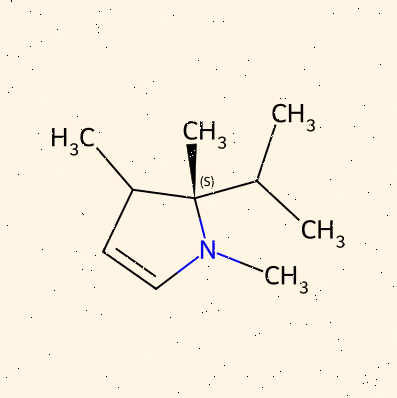 CC(C)[C@@]1(C)C(C)C=CN1C